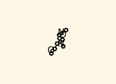 c1ccc(-c2nc3ccc4ccc5c(N(c6ccccc6)c6cccc(-c7ccc8c(c7)oc7ccccc78)c6)cccc5c4c3o2)cc1